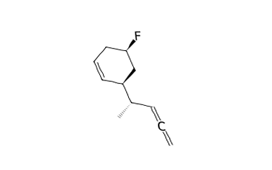 C=C=C[C@H](C)[C@H]1C=CC[C@@H](F)C1